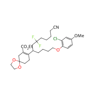 CCOC(=O)C1=C(C(CCCCOc2ccc(OC)cc2Cl)CC(F)(F)CCCCC#N)CCC2(C1)OCCO2